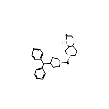 O=C1COC2CCN(C(=O)N3CCC(C(c4ccccc4)c4ccccc4)CC3)CC2N1